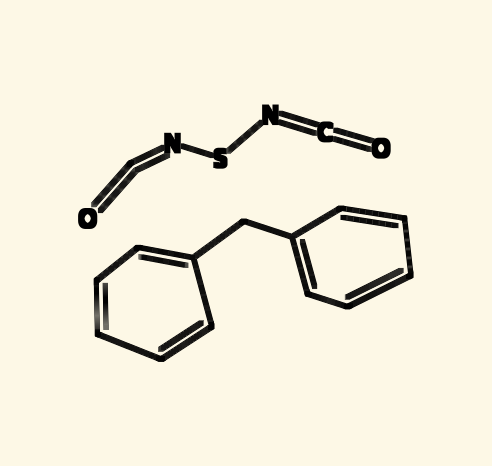 O=C=NSN=C=O.c1ccc(Cc2ccccc2)cc1